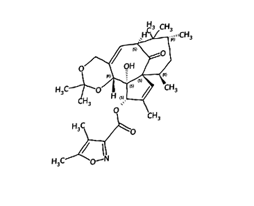 CC1=C[C@]23C(=O)[C@@H](C=C4COC(C)(C)O[C@H]4[C@]2(O)[C@H]1OC(=O)c1noc(C)c1C)C(C)(C)[C@H](C)C[C@H]3C